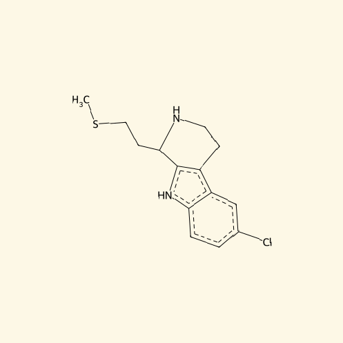 CSCCC1NCCc2c1[nH]c1ccc(Cl)cc21